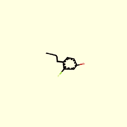 CCCc1ccc(Br)cc1F